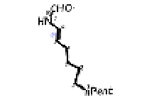 CCCCCCCCC/C=C/N[C]=O